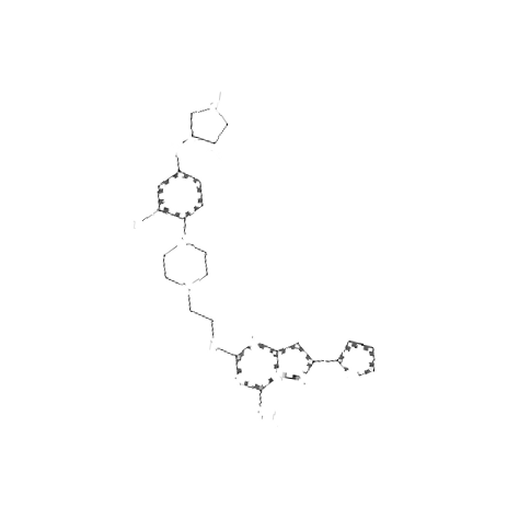 Nc1nc(NCCN2CCN(c3ccc(O[C@H]4CNC[C@@H]4F)cc3F)CC2)nc2cc(-c3ccco3)nn12